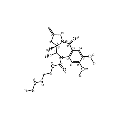 C=C1C[C@H]2C(O)N(C(=O)OCCSSCC)c3cc(OC)c(OC)cc3C(=O)N2C1